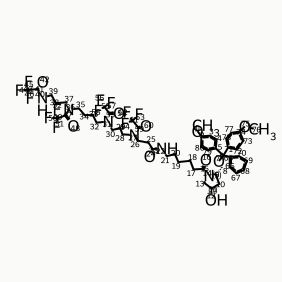 COc1ccc(C(OC[C@@H]2C[C@@H](O)CN2C(=O)CCCCCNC(=O)CCN(CCCN(CCCCN(CCCNC(=O)C(F)(F)F)C(=O)C(F)(F)F)C(=O)C(F)(F)F)C(=O)C(F)(F)F)(c2ccccc2)c2ccc(OC)cc2)cc1